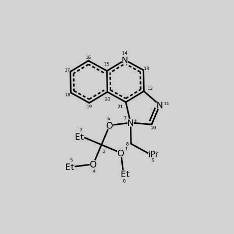 CCOC(CC)(OCC)O[N+]1(CC(C)C)C=Nc2cnc3ccccc3c21